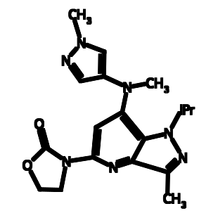 Cc1nn(C(C)C)c2c(N(C)c3cnn(C)c3)cc(N3CCOC3=O)nc12